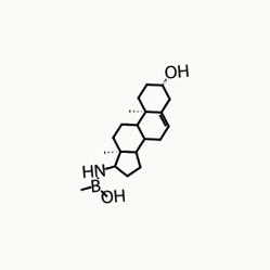 CB(O)NC1CCC2C3CC=C4C[C@@H](O)CC[C@]4(C)C3CC[C@]12C